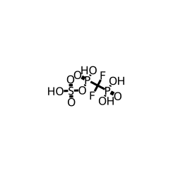 O=P(O)(O)C(F)(F)P(=O)(O)OS(=O)(=O)O